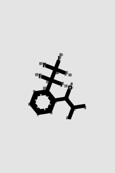 CC(C)C([O])c1ccccc1C(F)(F)C(F)(F)F